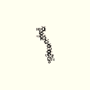 O=C1CCC(N2C(=O)c3ccc(Oc4ccc(N5CCC(N6CCN7c8cc(-c9ccccc9O)nnc8NC[C@H]7C6)CC5)cc4)cc3C2=O)C(=O)N1